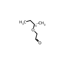 CC[C@H](C)OCC=O